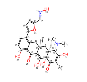 CC(=O)C1=C(O)[C@@H](N(C)C)[C@@H]2C[C@@H]3Cc4c(-c5ccc(/C=N/O)o5)ccc(O)c4C(=O)C3=C(O)[C@]2(O)C1=O